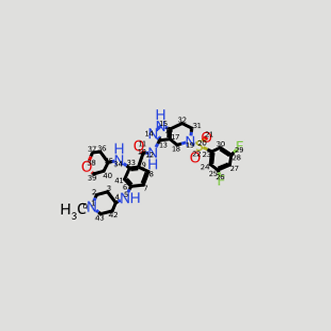 CN1CCC(Nc2ccc(C(=O)Nc3n[nH]c4c3CN(S(=O)(=O)c3cc(F)cc(F)c3)CC4)c(NC3CCOCC3)c2)CC1